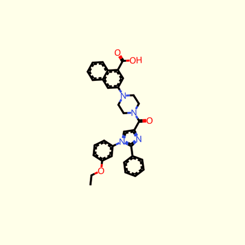 CCOc1cccc(-n2cc(C(=O)N3CCN(c4cc(C(=O)O)c5ccccc5c4)CC3)nc2-c2ccccc2)c1